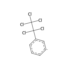 ClC(Cl)(Cl)C(Cl)(Cl)c1c[c]ccc1